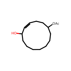 CC(=O)OC1CCC=CC(O)CCCCCCC1